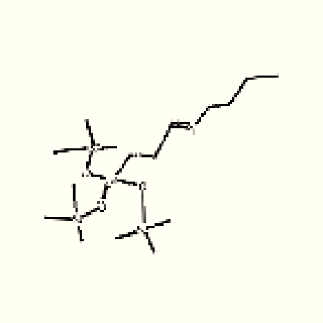 CCCCN=CCC[Si](O[Si](C)(C)C)(O[Si](C)(C)C)O[Si](C)(C)C